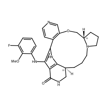 COc1c(F)cccc1Nc1c2[nH]c3c1C(=O)NC[C@@H]3CCCN1CCC[C@H]1COc1cnccc1-2